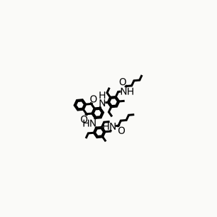 CCCCC(=O)NCc1c(C)cc(CC)c(Nc2ccc(Nc3c(CC)cc(C)c(CNC(=O)CCCC)c3CC)c3c2C(=O)c2ccccc2C3=O)c1CC